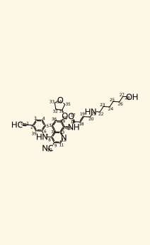 C#Cc1cccc(Nc2c(C#N)cnc3c(NC(=O)/C=C/CNCCCCCCO)c(O[C@H]4CCOC4)ccc23)c1